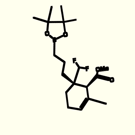 COC(=O)[C@H]1C(C)=CCC[C@]1(CCCB1OC(C)(C)C(C)(C)O1)C(F)F